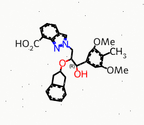 COc1cc([C@@H](O)C(Cn2cc3cccc(C(=O)O)c3n2)OC2Cc3ccccc3C2)cc(OC)c1C